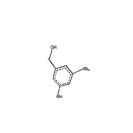 CC(C)(C)c1cc([CH]O)cc(C(C)(C)C)c1